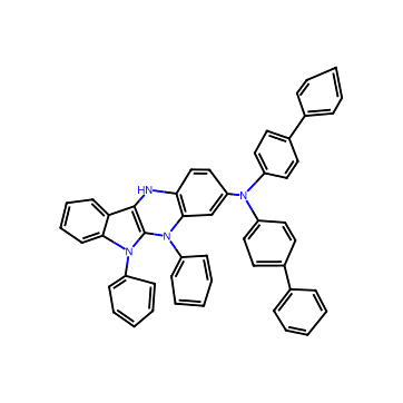 c1ccc(-c2ccc(N(c3ccc(-c4ccccc4)cc3)c3ccc4c(c3)N(c3ccccc3)c3c(c5ccccc5n3-c3ccccc3)N4)cc2)cc1